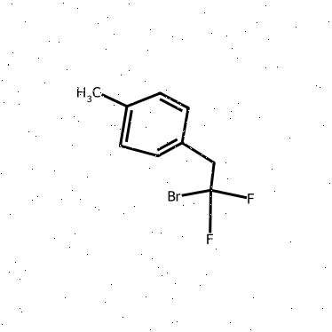 Cc1ccc(CC(F)(F)Br)cc1